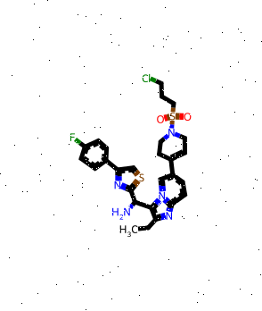 CCc1nc2ccc(C3=CCN(S(=O)(=O)CCCCl)CC3)cn2c1C(N)c1nc(-c2ccc(F)cc2)cs1